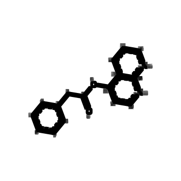 O=C(Cc1ccccc1)Oc1ccnc2ncccc12